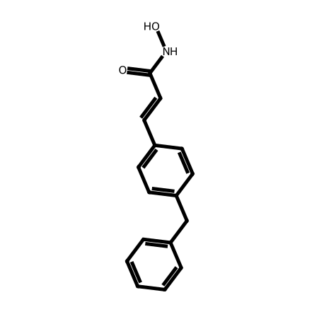 O=C(/C=C/c1ccc(Cc2ccccc2)cc1)NO